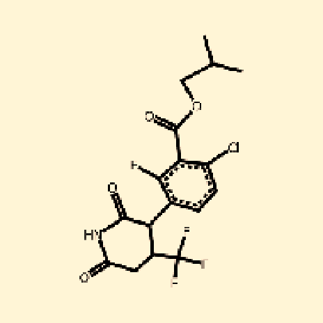 CC(C)COC(=O)c1c(Cl)ccc(C2C(=O)NC(=O)CC2C(F)(F)F)c1F